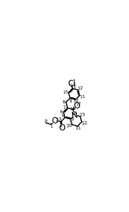 CCOC(=O)c1cc(Cc2cccc(Cl)c2)c(=O)n2c1CCCC2